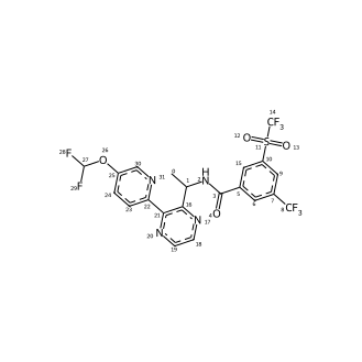 CC(NC(=O)c1cc(C(F)(F)F)cc(S(=O)(=O)C(F)(F)F)c1)c1nccnc1-c1ccc(OC(F)F)cn1